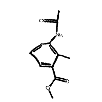 COC(=O)c1cccc(NC(C)=O)c1C